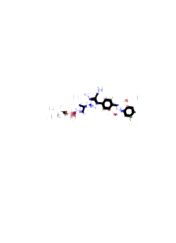 COc1ccc(F)cc1N(C=O)Cc1ccc(-c2nn(C3CN(C(=O)OC(C)(C)C)C3)c(N)c2C#N)cc1